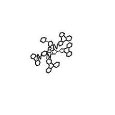 C1=C2C3=C(C1C1C=c4c(c5ccccc5c5ccccc45)=C1)N(c1ccc4c5ccccc5c5ccccc5c4c1)c1ccc(-c4ccccc4)cc1B3c1ccc(-n3c4ccccc4c4ccccc43)cc1N2c1ccc2c3ccccc3c3ccccc3c2c1